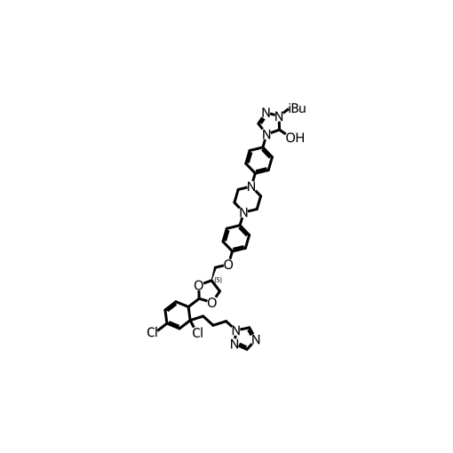 CCC(C)N1N=CN(c2ccc(N3CCN(c4ccc(OC[C@H]5COC(C6C=CC(Cl)=CC6(Cl)CCCn6cncn6)O5)cc4)CC3)cc2)C1O